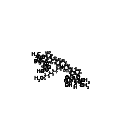 CCCCCCCCCCN1c2ccc(/C=C(\C=c3/s/c(=C(/S)C(=O)N(C)CC)n(CC(=O)O)c3=O)c3ccccc3)cc2CCc2cc(/C=C(\C=c3/s/c(=C4/SC(=S)N(CC)C4=O)n(CC(=O)O)c3=O)c3ccccc3)ccc21